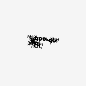 CCc1ncc2c(P(C)(C)=O)c(Nc3nc(Nc4cc(CC)c(N5CCC(N6CCN(CCc7cc(F)c(C8CCC(=O)NC8=O)c(F)c7)CC6)CC5)cc4OC)ncc3Br)ccc2n1